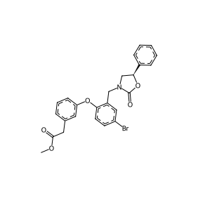 COC(=O)Cc1cccc(Oc2ccc(Br)cc2CN2C[C@@H](c3ccccc3)OC2=O)c1